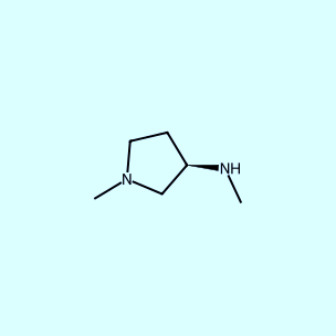 CN[C@@H]1CCN(C)C1